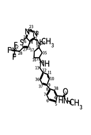 CNC(=O)c1cccc(-c2ccc(CNC3CCC(N(C)c4ncnc5sc(CC(F)(F)F)cc45)C3)cc2)c1